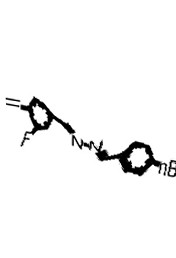 CCCCc1ccc(C=NN=Cc2ccc(F)c(F)c2)cc1